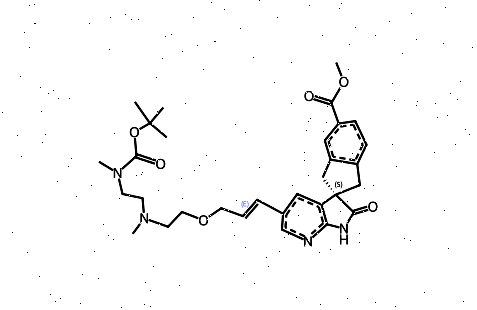 COC(=O)c1ccc2c(c1)C[C@]1(C2)C(=O)Nc2ncc(/C=C/COCCN(C)CCN(C)C(=O)OC(C)(C)C)cc21